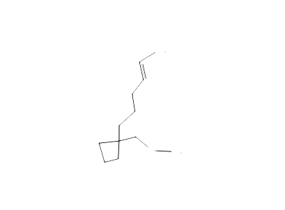 CC(C)(C)/C=C/CCCC1(COC(C)(C)C)CCC1